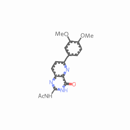 COc1ccc(-c2ccc3nc(NC(C)=O)[nH]c(=O)c3n2)cc1OC